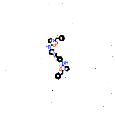 O=C(Nc1ccc(-c2cn3cc(NC(=O)[C@@H]4CCCN4C(=O)Cc4ccccc4)ccc3n2)cc1)[C@@H]1CCCN1C(=O)Cc1ccccc1